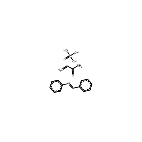 C=CC(N)=O.O=P(O)(O)O.c1ccc(N=Nc2ccccc2)cc1